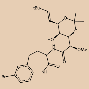 CO[C@@H](C(=O)NC1CCc2cc(Br)ccc2NC1=O)[C@@H]1OC(C)(C)O[C@H](/C=C/C(C)(C)C)[C@@H]1O